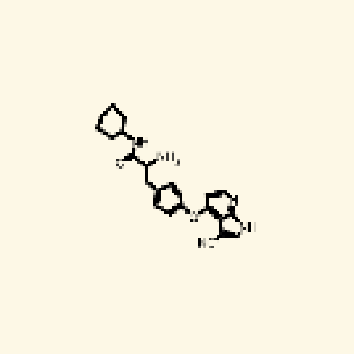 N#Cc1c[nH]c2nccc(Oc3ccc(CC(N)C(=O)NC4CCCCC4)cc3)c12